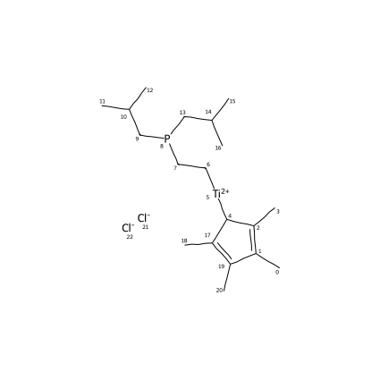 CC1=C(C)[CH]([Ti+2][CH2]CP(CC(C)C)CC(C)C)C(C)=C1C.[Cl-].[Cl-]